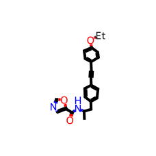 CCOc1ccc(C#Cc2ccc(CC(C)NC(=O)c3cnco3)cc2)cc1